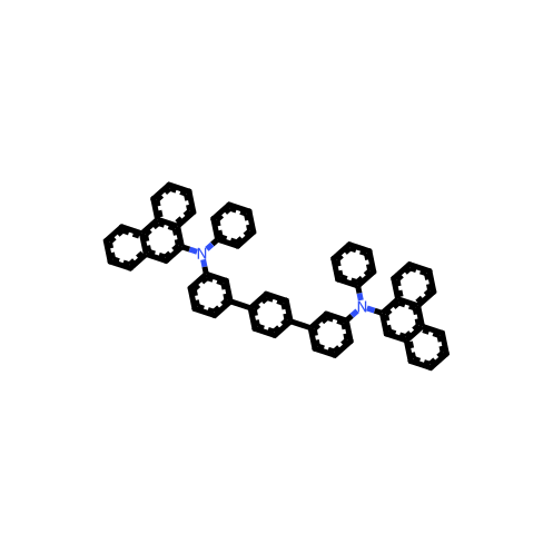 c1ccc(N(c2cccc(-c3ccc(-c4cccc(N(c5ccccc5)c5cc6ccccc6c6ccccc56)c4)cc3)c2)c2cc3ccccc3c3ccccc23)cc1